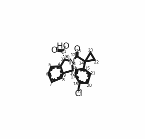 O=C(O)[C@H]1c2ccccc2CN1C(=O)C1(c2ccc(Cl)cc2)CC1